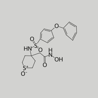 O=C(CC1(NS(=O)(=O)c2ccc(Oc3ccccc3)cc2)CC[S+]([O-])CC1)NO